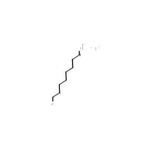 CCCCCCCCCCCC[CH2][K]